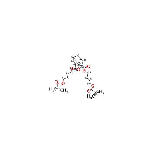 C=C(C)C(=O)OCCCCOC(=O)C12CC3CC(C1)CC(C(=O)OCCCCOC(=O)C(=C)C)(C3)C2